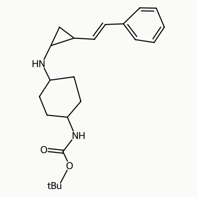 CC(C)(C)OC(=O)NC1CCC(NC2CC2/C=C/c2ccccc2)CC1